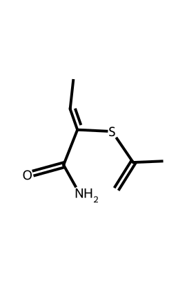 C=C(C)S/C(=C\C)C(N)=O